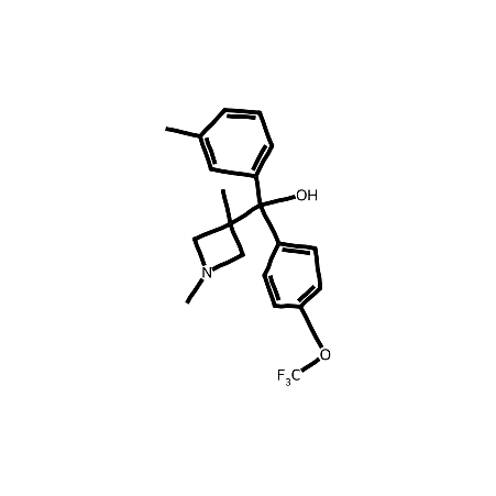 Cc1cccc(C(O)(c2ccc(OC(F)(F)F)cc2)C2(C)CN(C)C2)c1